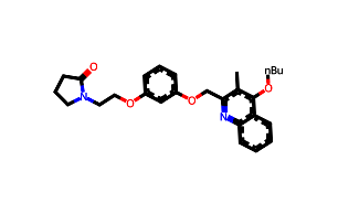 CCCCOc1c(C)c(COc2cccc(OCCN3CCCC3=O)c2)nc2ccccc12